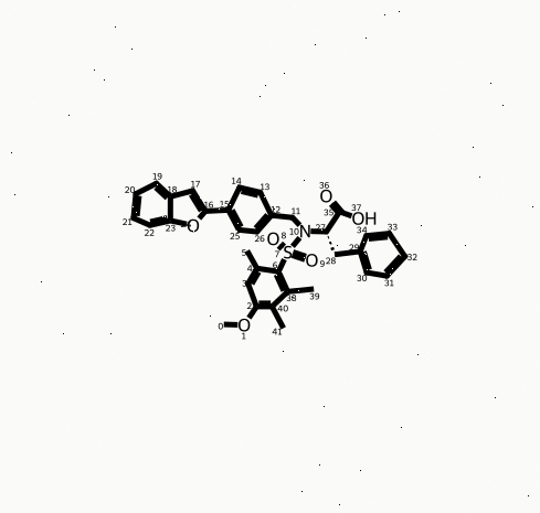 COc1cc(C)c(S(=O)(=O)N(Cc2ccc(-c3cc4ccccc4o3)cc2)[C@@H](Cc2ccccc2)C(=O)O)c(C)c1C